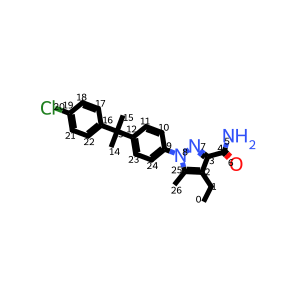 CCc1c(C(N)=O)nn(-c2ccc(C(C)(C)c3ccc(Cl)cc3)cc2)c1C